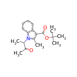 CC(=O)C(C)n1c(C)c(C(=O)OC(C)(C)C)c2ccccc21